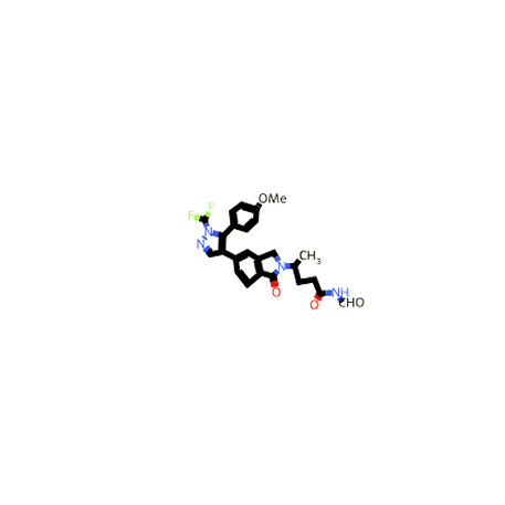 COc1ccc(-c2c(-c3ccc4c(c3)CN(C(C)CCC(=O)NC=O)C4=O)cnn2C(F)F)cc1